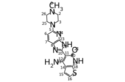 CN1CCN(c2ccc3nc(-c4c(N)c5ccsc5[nH]c4=O)[nH]c3n2)CC1